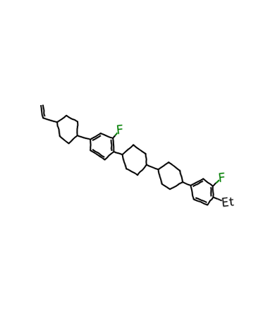 C=CC1CCC(c2ccc(C3CCC(C4CCC(c5ccc(CC)c(F)c5)CC4)CC3)c(F)c2)CC1